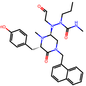 CCCN(C(=O)NC)N(CC=O)[C@H]1CN(Cc2cccc3ccccc23)C(=O)[C@H](Cc2ccc(O)cc2)N1C